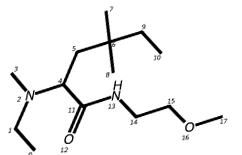 CCN(C)C(CC(C)(C)CC)C(=O)NCCOC